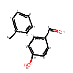 Cc1ccccc1.O=Cc1ccc(O)cc1